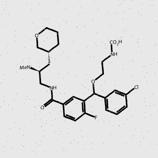 CN[C@H](CNC(=O)c1ccc(F)c(C(OCCNC(=O)O)c2cccc(Cl)c2)c1)C[C@H]1CCCOC1